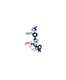 COC(=O)C(CC(C)(C)C12CCC(C1)C(C)(C)C2N)n1cc(-c2ccc(-n3cnc(C)c3)c(OC)c2)nn1